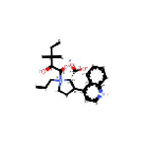 CCC[N+]1(C(=O)C(=O)C(C)(C)CC)CCC(c2ccnc3ccccc23)[C@H]1C(=O)[O-]